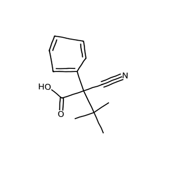 CC(C)(C)C(C#N)(C(=O)O)c1ccccc1